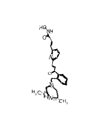 C[C@@H]1CN(Cc2ccccc2C(=O)C=Cc2cccc(C=CC(=O)NO)n2)C[C@H](C)N1